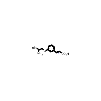 CCCCC(N)COc1cccc(/C=C/C(=O)O)c1